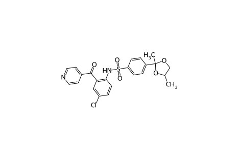 CC1COC(C)(c2ccc(S(=O)(=O)Nc3ccc(Cl)cc3C(=O)c3ccncc3)cc2)O1